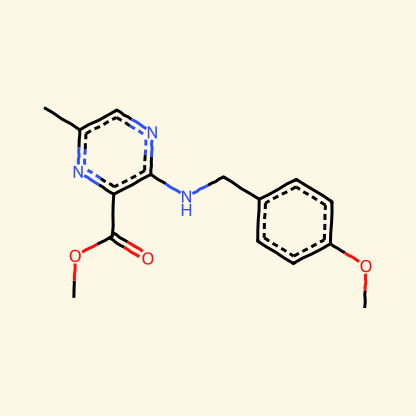 COC(=O)c1nc(C)cnc1NCc1ccc(OC)cc1